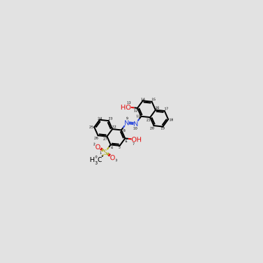 CS(=O)(=O)c1cc(O)c(N=Nc2c(O)ccc3ccccc23)c2ccccc12